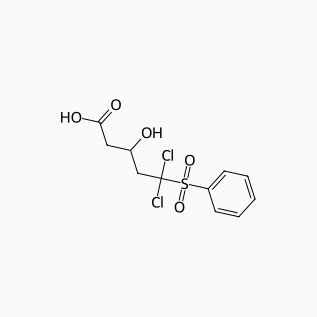 O=C(O)CC(O)CC(Cl)(Cl)S(=O)(=O)c1ccccc1